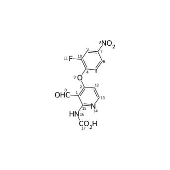 O=Cc1c(Oc2ccc([N+](=O)[O-])cc2F)ccnc1NC(=O)O